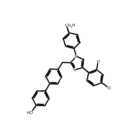 O=C(O)c1ccc(-n2cc(-c3ccc(Cl)cc3Cl)nc2Cc2ccc(-c3ccc(O)cc3)cc2)cc1